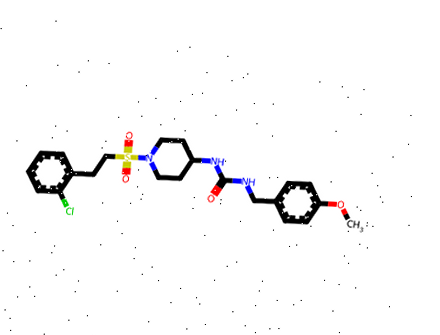 COc1ccc(CNC(=O)NC2CCN(S(=O)(=O)CCc3ccccc3Cl)CC2)cc1